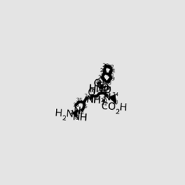 N=C(N)N1CCC(CNC(=O)CC(NS(=O)(=O)c2ccc3ccccc3c2)C(=O)N(CC(=O)O)C2CC2)CC1